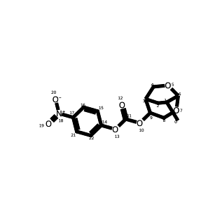 CC1CC2COC1OCC2OC(=O)Oc1ccc([N+](=O)[O-])cc1